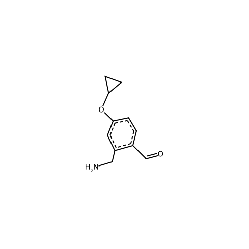 NCc1cc(OC2CC2)ccc1C=O